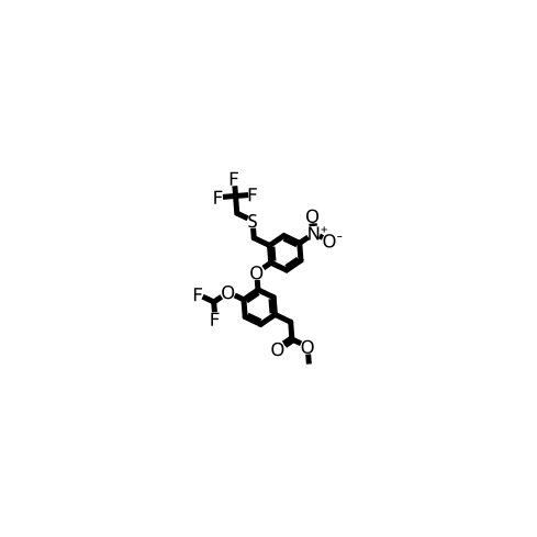 COC(=O)Cc1ccc(OC(F)F)c(Oc2ccc([N+](=O)[O-])cc2CSCC(F)(F)F)c1